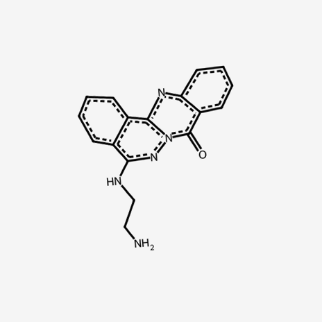 NCCNc1nn2c(=O)c3ccccc3nc2c2ccccc12